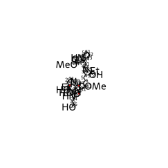 CCC1(O)CC(CCc2cc3c(cc2OC)N(C)C2C34CCN3CC=C[C@](CC)(C34)[C@@H](O)[C@]2(O)C(=O)NCCCO)CN(CCc2c(CC(=O)OC)[nH]c3ccccc23)C1